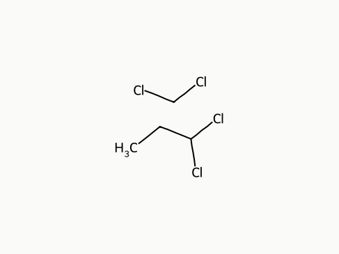 CCC(Cl)Cl.ClCCl